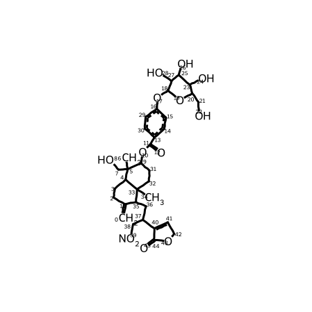 C=C1CCC2C(C)(CO)C(OC(=O)c3ccc(OC4OC(CO)C(O)C(O)C4O)cc3)CCC2(C)C1CC(C[N+](=O)[O-])C1=CCOC1=O